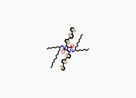 CCCCCCCCCCC(CCCCCC)CN1C(=O)C2=C(c3ccc(-c4ccc(-c5cccs5)s4)s3)N(CC(CCCCCC)CCCCCCCC)C(=O)C2=C1c1ccc(-c2ccc(-c3cccs3)s2)s1